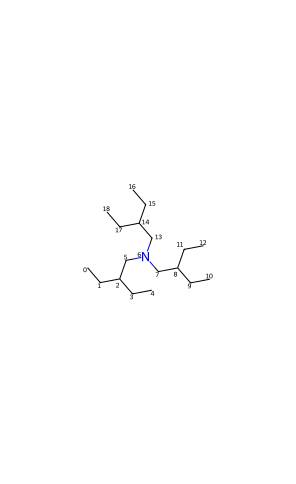 CCC(CC)CN(CC(CC)CC)CC(CC)CC